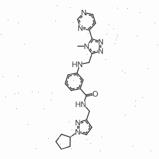 Cn1c(CNc2cccc(C(=O)NCc3ccn(C4CCCC4)n3)c2)nnc1-c1ccncn1